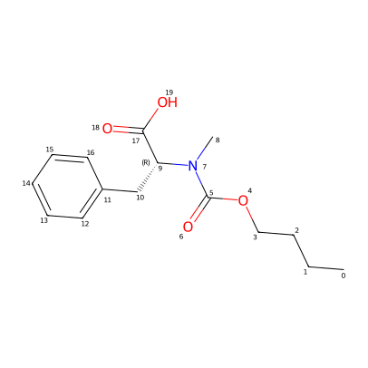 CCCCOC(=O)N(C)[C@H](Cc1ccccc1)C(=O)O